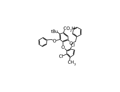 Cc1ccc(Cl)c(Oc2c(OCc3ccccc3)cc(C(=O)O)c(C(C)(C)C)c2OCc2ccccc2)c1Cl